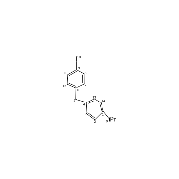 CC(C)c1ccc(Cc2ccc(I)cc2)cc1